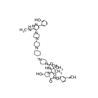 C#Cc1ccc(CNC(=O)[C@@H]2C[C@@H](O)CN2C(=O)[C@@H](NC(=O)N2CCN(C[C@H]3CC[C@@H](N4CCC(N5CCN(c6cc(-c7ccccc7O)nnc6NCC)CC5)CC4)CC3)CC2)C(C)(C)C)cc1